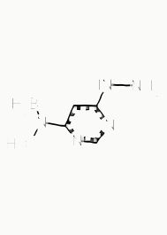 BN(C)c1cc(NN)ncn1